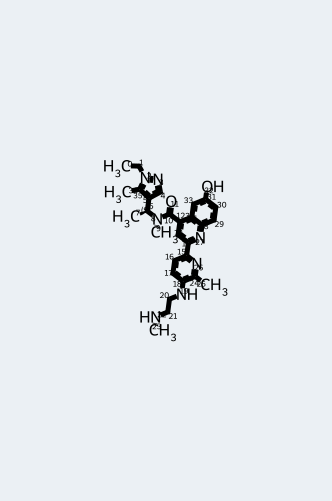 CCn1ncc([C@H](C)N(C)C(=O)c2cc(-c3ccc(NCCNC)c(C)n3)nc3ccc(O)cc23)c1C